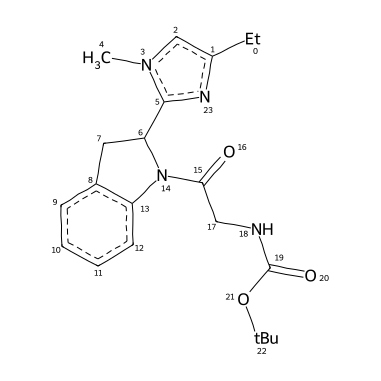 CCc1cn(C)c(C2Cc3ccccc3N2C(=O)CNC(=O)OC(C)(C)C)n1